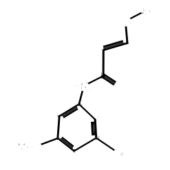 CCOC=CC(=O)Nc1cc(Br)cc(OC)c1